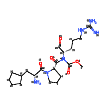 COC(=O)N(C(=O)[C@@H]1CCCN1C(=O)[C@H](N)CC1CCCC1)[C@H](C=O)CCCNC(=N)N